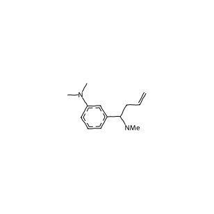 C=CCC(NC)c1cccc(N(C)C)c1